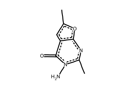 Cc1cc2c(=O)n(N)c(C)nc2o1